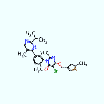 Cc1cc(COc2nc(C)n(-c3cc(-c4nc(C(C)C)ncc4C)ccc3C)c(=O)c2Br)cs1